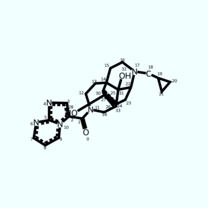 O=C(c1cnc2ncccn12)N1CCC23CCN(CC4CC4)C(Cc4ccc(O)cc42)C3(O)CC1